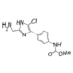 COC(=O)Nc1ccc(-c2nc(CN)[nH]c2Cl)cc1